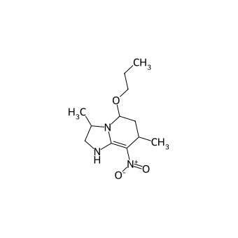 CCCOC1CC(C)C([N+](=O)[O-])=C2NCC(C)N21